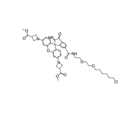 COC(=O)C1CN(c2ccc3c(c2)Oc2cc(N4CC(C(=O)OC)C4)ccc2C32C(=N)C(=O)c3ccc(C(=O)NCCOCCOCCCCCCCl)cc32)C1